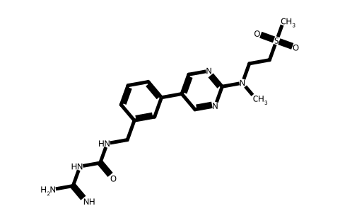 CN(CCS(C)(=O)=O)c1ncc(-c2cccc(CNC(=O)NC(=N)N)c2)cn1